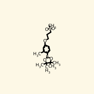 Cc1cc(OCCCS(C)(=O)=O)ccc1B1OC(C)(C)C(C)(C)O1